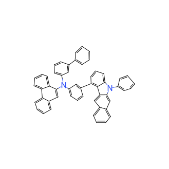 c1ccc(-c2cccc(N(c3cccc(-c4cccc5c4c4cc6ccccc6cc4n5-c4ccccc4)c3)c3cc4ccccc4c4ccccc34)c2)cc1